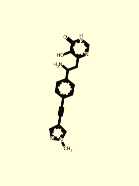 Cn1cc(C#Cc2ccc(C(N)Cc3nc[nH]c(=O)c3O)cc2)cn1